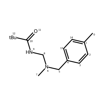 Cc1ccc(CN(C)CNC(=O)C(C)(C)C)cc1